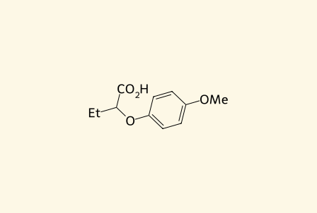 CCC(Oc1ccc(OC)cc1)C(=O)O